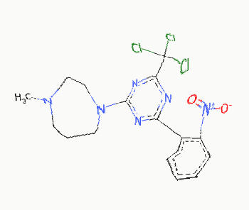 CN1CCCN(c2nc(-c3ccccc3[N+](=O)[O-])nc(C(Cl)(Cl)Cl)n2)CC1